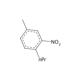 CCCc1ccc(C)cc1[N+](=O)[O-]